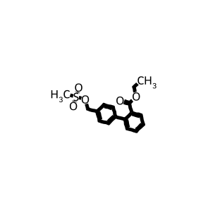 CCOC(=O)c1ccccc1-c1ccc(COS(C)(=O)=O)cc1